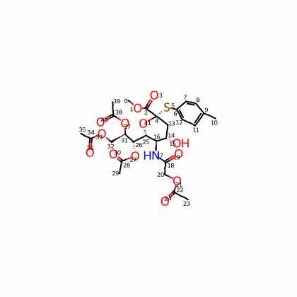 COC(=O)[C@@]1(Sc2ccc(C)cc2)C[C@H](O)[C@@H](NC(=O)COC(C)=O)[C@H]([C@H](OC(C)=O)[C@@H](COC(C)=O)OC(C)=O)O1